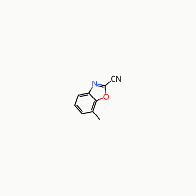 Cc1cccc2nc(C#N)oc12